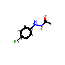 CC(=O)NNc1ccc(Br)cc1